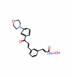 O=C(/C=C/c1cccc(/C=C/C(=O)c2cccc(N3CCOCC3)c2)c1)NO